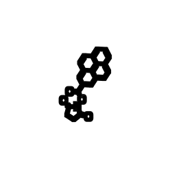 O=C(ON1C(=O)CCC1=O)c1cc2ccc3cccc4ccc(c1)c2c34